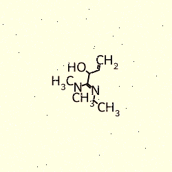 C=CC(O)C(=NCC)N(C)C